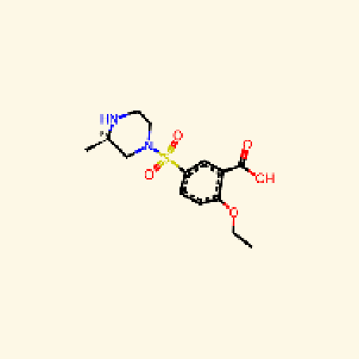 CCOc1ccc(S(=O)(=O)N2CCN[C@H](C)C2)cc1C(=O)O